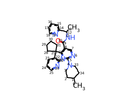 CC1CCN(c2ncc(C(=O)NC(C)c3ccccn3)c(C3(c4cccnc4)CCCC3)n2)CC1